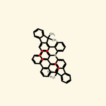 CC1(C)c2ccccc2-c2ccc(N(c3ccccc3-c3cccc4c3C(C)(C)c3ccccc3-4)c3ccccc3-c3cccc4cccc(-c5ccccc5)c34)cc21